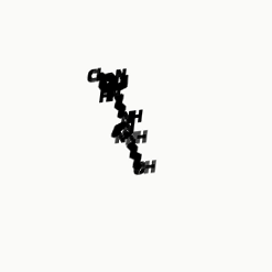 OCCCCCNc1nccc(NCCCCNc2ccnc3cc(Cl)ccc23)n1